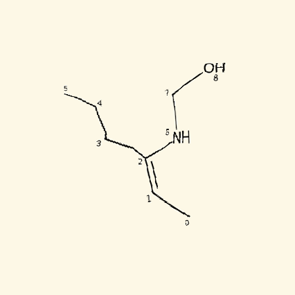 CC=C(CCC)NCO